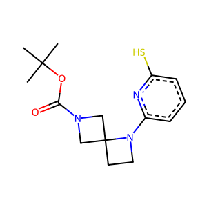 CC(C)(C)OC(=O)N1CC2(CCN2c2cccc(S)n2)C1